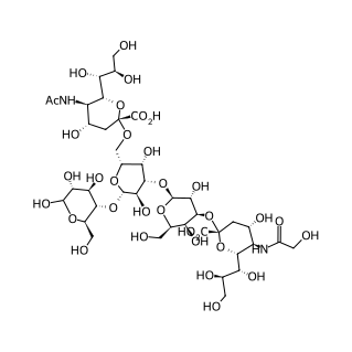 CC(=O)N[C@H]1[C@H]([C@H](O)[C@H](O)CO)O[C@@](OC[C@H]2O[C@@H](O[C@H]3[C@H](O)[C@@H](O)C(O)O[C@@H]3CO)[C@H](O)[C@@H](O[C@@H]3O[C@H](CO)[C@H](O)[C@H](O[C@]4(C(=O)O)C[C@H](O)[C@@H](NC(=O)CO)[C@H]([C@H](O)[C@H](O)CO)O4)[C@H]3O)[C@H]2O)(C(=O)O)C[C@@H]1O